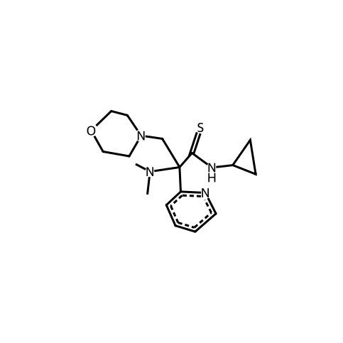 CN(C)C(CN1CCOCC1)(C(=S)NC1CC1)c1ccccn1